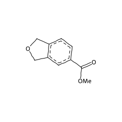 COC(=O)c1ccc2c(c1)COC2